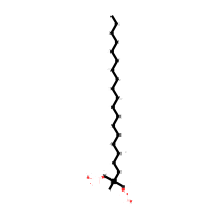 CCCCCCCCCCCCCCCCCCC(C)(COC)COC